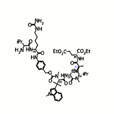 CCOC(=O)CC[C@@H](NC(=O)/C(C)=C/[C@H](C(C)C)N(C)C(=O)[C@@H](NC(=O)[C@@H](N(C)C(=O)OCc1ccc(NC(=O)[C@H](CCCCNC(N)=O)NC(=O)C(N)C(C)C)cc1)C(C)(C)c1cn(C)c2ccccc12)C(C)(C)C)C(=O)OCC